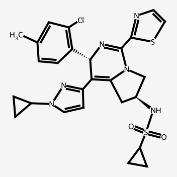 Cc1ccc([C@@H]2N=C(c3nccs3)N3C[C@@H](NS(=O)(=O)C4CC4)CC3=C2c2ccn(C3CC3)n2)c(Cl)c1